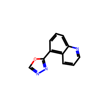 c1cc(-c2nnco2)c2cccnc2c1